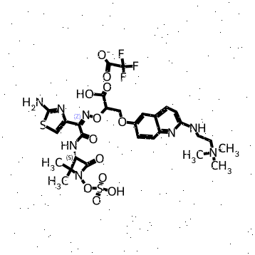 CC1(C)[C@H](NC(=O)/C(=N\OC(COc2ccc3nc(NCC[N+](C)(C)C)ccc3c2)C(=O)O)c2csc(N)n2)C(=O)N1OS(=O)(=O)O.O=C([O-])C(F)(F)F